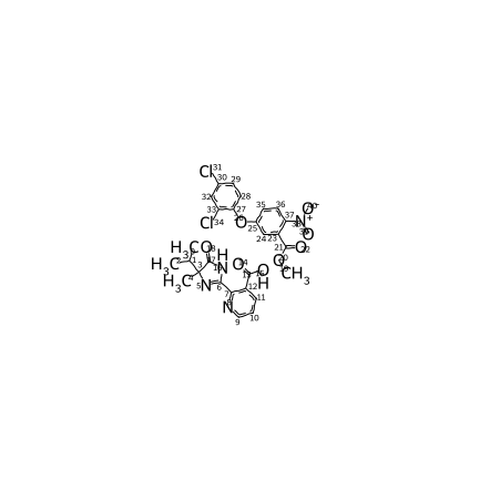 CC(C)C1(C)N=C(c2ncccc2C(=O)O)NC1=O.COC(=O)c1cc(Oc2ccc(Cl)cc2Cl)ccc1[N+](=O)[O-]